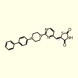 O=C1NC(=O)/C(=C/c2ccnc(N3CCN(c4ccc(-c5ccccc5)cc4)CC3)n2)S1